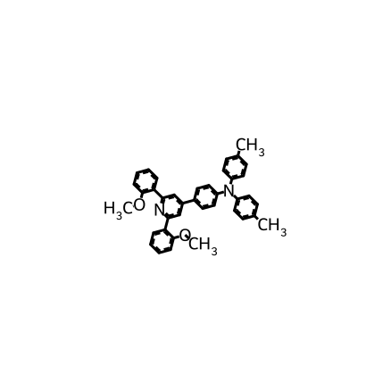 COc1ccccc1-c1cc(-c2ccc(N(c3ccc(C)cc3)c3ccc(C)cc3)cc2)cc(-c2ccccc2OC)n1